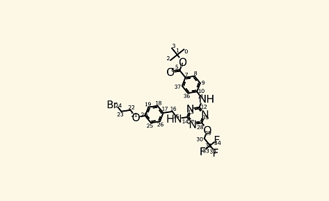 CC(C)(C)OC(=O)c1ccc(Nc2nc(NCc3ccc(OCCBr)cc3)nc(OCC(F)(F)F)n2)cc1